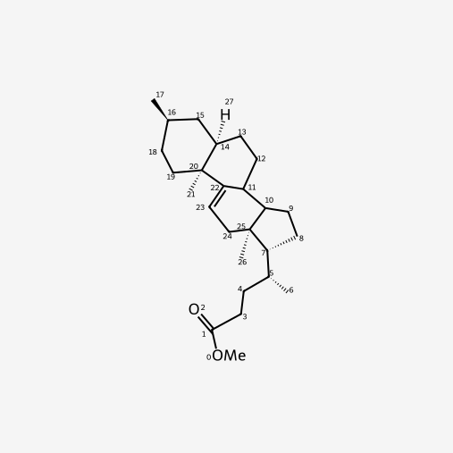 COC(=O)CC[C@@H](C)[C@H]1CCC2C3CC[C@@H]4C[C@H](C)CC[C@]4(C)C3=CC[C@@]21C